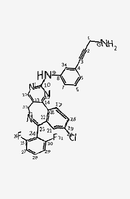 NCC#Cc1cccc(Nc2ncc3c(n2)-c2ccc(Cl)cc2C(c2c(F)cccc2F)=NC3)c1